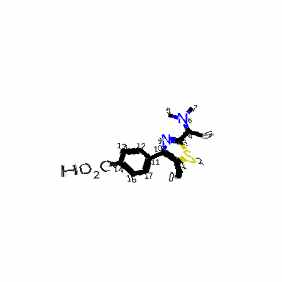 Cc1sc(C(C)N(C)C)nc1-c1ccc(C(=O)O)cc1